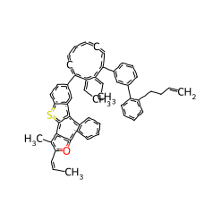 C=CCCc1ccccc1-c1cccc(-c2ccccccc(-c3ccc4sc5c6c(C)c(/C=C\C)oc6c6ccccc6c5c4c3)c(=C/C)/c2=C\C)c1